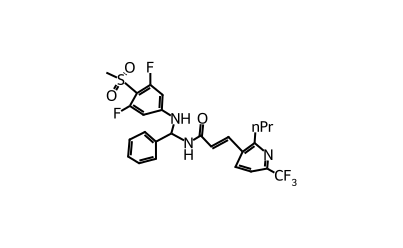 CCCc1nc(C(F)(F)F)ccc1C=CC(=O)NC(Nc1cc(F)c(S(C)(=O)=O)c(F)c1)c1ccccc1